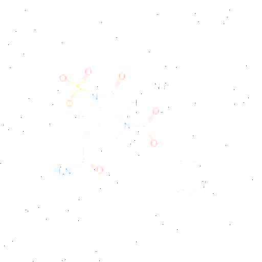 NC(=O)/C=C1\CN(C(=O)OCc2ccccc2)[C@@H]2C(=O)N(S(=O)(=O)[O-])[C@H]12.[Na+]